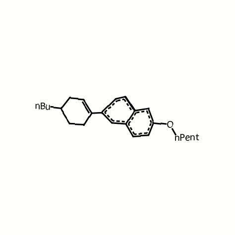 CCCCCOc1ccc2cc(C3=CCC(CCCC)CC3)ccc2c1